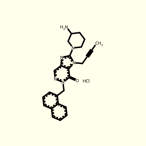 CC#CCn1c(N2CCCC(N)C2)nc2cnn(Cc3cccc4ccccc34)c(=O)c21.Cl